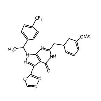 COC1=CC=CC(Cc2nc3c(c(-c4nnco4)nn3C(C)c3ccc(C(F)(F)F)cc3)c(=O)[nH]2)C1